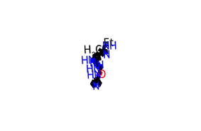 CCNCc1cncc(-c2ccc3[nH]nc(-c4ncc(C(=O)NCCC56CCCN5CCC6)[nH]4)c3c2)c1C